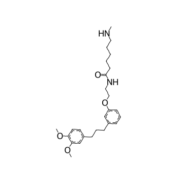 CNCCCCCC(=O)NCCOc1cccc(CCCc2ccc(OC)c(OC)c2)c1